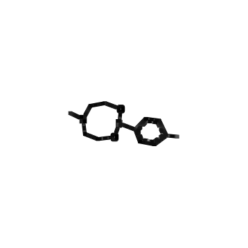 Cc1ccc(B2OCCN(C)CCO2)cc1